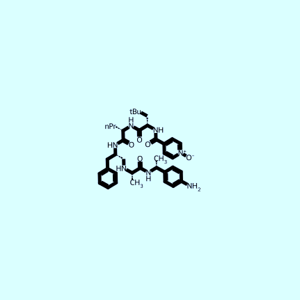 CCC[C@H](NC(=O)[C@H](CC(C)(C)C)NC(=O)c1cc[n+]([O-])cc1)C(=O)N[C@H](CN[C@@H](C)C(=O)N[C@H](C)c1ccc(N)cc1)Cc1ccccc1